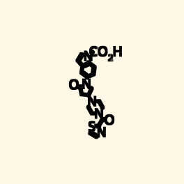 O=C(c1nccs1)N1CCN(C2CC(=O)N(c3ccc4c(ccn4C(=O)O)c3)C2)CC1